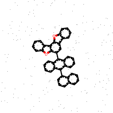 c1ccc2c(-c3c4ccccc4c(-c4cc5c6ccccc6oc5c5c4oc4ccccc45)c4ccccc34)cccc2c1